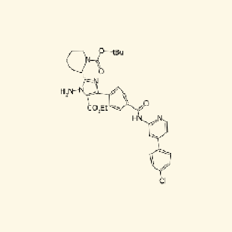 CCOC(=O)c1c(-c2ccc(C(=O)Nc3cc(-c4ccc(Cl)cc4)ccn3)cc2)nc([C@@H]2CCCCN2C(=O)OC(C)(C)C)n1N